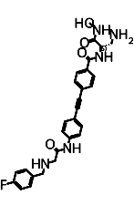 NC[C@H](NC(=O)c1ccc(C#Cc2ccc(NC(=O)CNCc3ccc(F)cc3)cc2)cc1)C(=O)NO